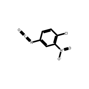 O=C=Nc1ccc(Cl)c([N+](=O)[O-])c1